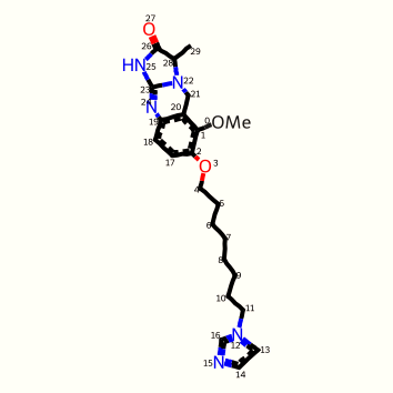 COc1c(OCCCCCCCCn2ccnc2)ccc2c1CN1C(=N2)NC(=O)C1C